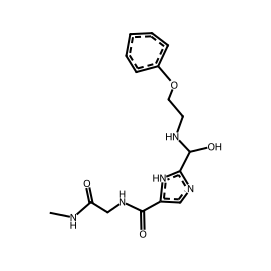 CNC(=O)CNC(=O)c1cnc(C(O)NCCOc2ccccc2)[nH]1